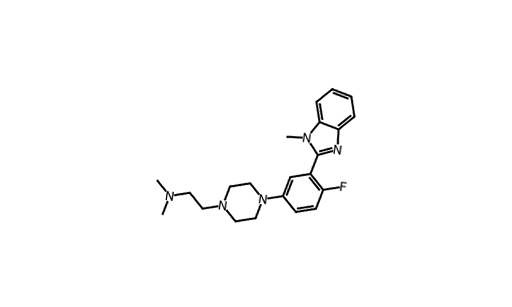 CN(C)CCN1CCN(c2ccc(F)c(-c3nc4ccccc4n3C)c2)CC1